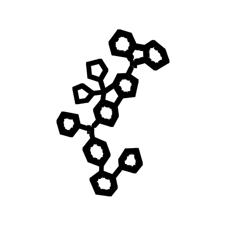 c1ccc(-c2ccccc2-c2ccc(N(c3ccccc3)c3ccc4c(c3)C(C3CCCC3)(C3CCCC3)c3cc(-n5c6ccccc6c6ccccc65)ccc3-4)cc2)cc1